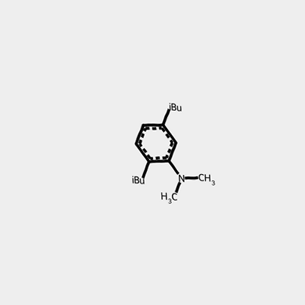 [CH2]C(CC)c1ccc(C(C)CC)cc1N(C)C